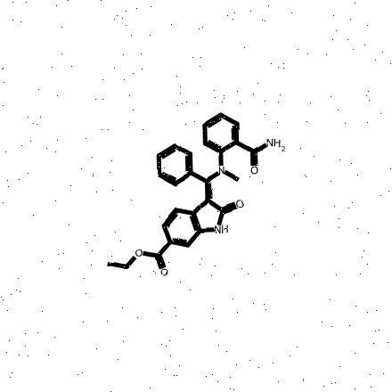 CCOC(=O)c1ccc2c(c1)NC(=O)/C2=C(/c1ccccc1)N(C)c1ccccc1C(N)=O